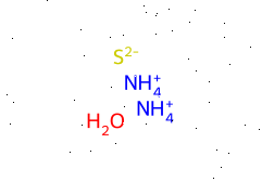 O.[NH4+].[NH4+].[S-2]